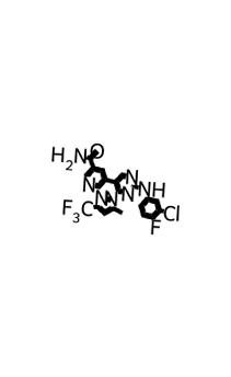 Cc1cc(C(F)(F)F)nn1-c1nc(Nc2ccc(F)c(Cl)c2)ncc1-c1cncc(C(N)=O)c1